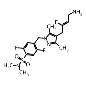 Cc1nn(Cc2cc(F)c(S(=O)(=O)N(C)C)cc2F)c(C)c1CC(F)=CCN